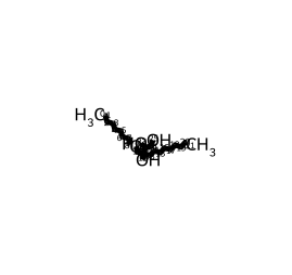 CCCCCCCCCOCC(O)(CCCCCCCCC)C(O)CO